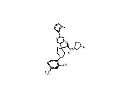 CC(=O)N1CC[C@H](NC(=O)C2(c3ccc(-c4cccn4C)nc3)CCN(c3ccc(C(F)(F)F)cc3C#N)CC2)C1